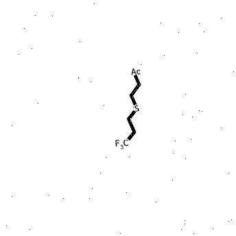 CC(=O)CCSCCC(F)(F)F